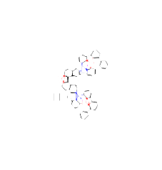 Cc1ccccc1N(c1ccc2c(ccc3oc4ccc5cc(N(c6ccccc6C)c6cccc7c6oc6c(-c8ccccc8)cccc67)ccc5c4c32)c1)c1cccc2c1oc1c(-c3ccccc3)cccc12